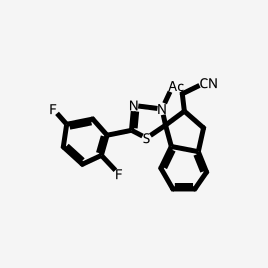 CC(=O)N1N=C(c2cc(F)ccc2F)SC12c1ccccc1CC2CC#N